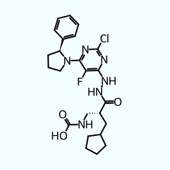 O=C(O)NC[C@@H](CC1CCCC1)C(=O)NNc1nc(Cl)nc(N2CCC[C@H]2c2ccccc2)c1F